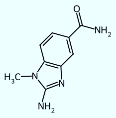 Cn1c(N)nc2cc(C(N)=O)ccc21